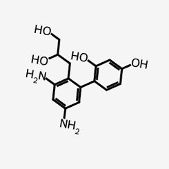 Nc1cc(N)c(CC(O)CO)c(-c2ccc(O)cc2O)c1